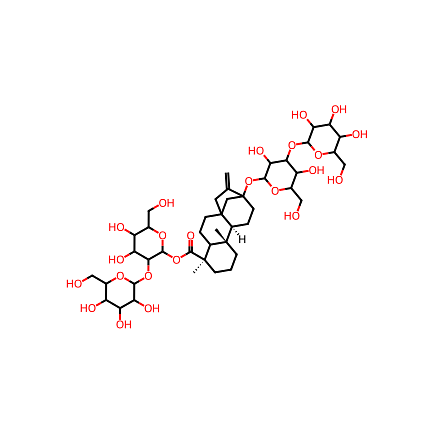 C=C1CC23CCC4[C@](C)(C(=O)OC5OC(CO)C(O)C(O)C5OC5OC(CO)C(O)C(O)C5O)CCC[C@@]4(C)[C@@H]2CCC1(OC1OC(CO)C(O)C(OC2OC(CO)C(O)C(O)C2O)C1O)C3